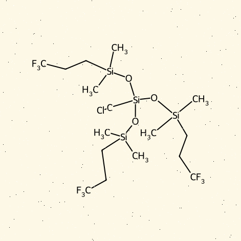 C[Si](C)(CCC(F)(F)F)O[Si](CCl)(O[Si](C)(C)CCC(F)(F)F)O[Si](C)(C)CCC(F)(F)F